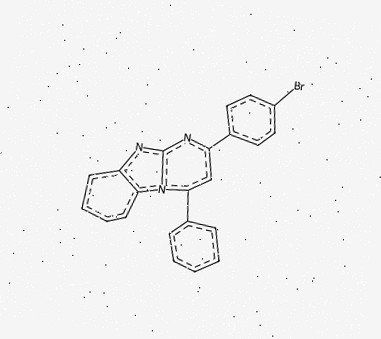 Brc1ccc(-c2cc(-c3ccccc3)n3c(n2)nc2ccccc23)cc1